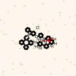 [2H]c1c([2H])c([2H])c(-c2cccc(-c3c([2H])c([2H])c([2H])c([2H])c3[2H])c2-[n+]2cn(-c3cccc(Oc4ccc5c6ccccc6n(N6C=C7C(=CC6)c6ccccc6-c6ccccc6-c6ccccc67)c5c4)c3)c3ccccc32)c([2H])c1[2H].[Cl-]